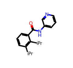 CC(C)c1cccc(C(=O)Nc2cccnc2)c1C(C)C